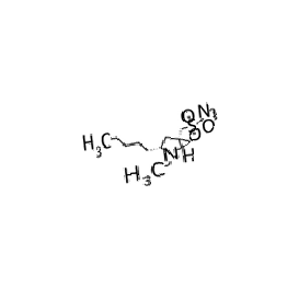 CCCCC[C@@H]1C[C@@]2(CS(=O)(=O)c3ncco3)C[C@H]2N1CC